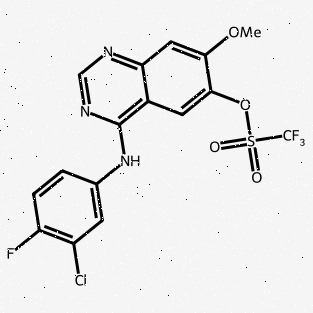 COc1cc2ncnc(Nc3ccc(F)c(Cl)c3)c2cc1OS(=O)(=O)C(F)(F)F